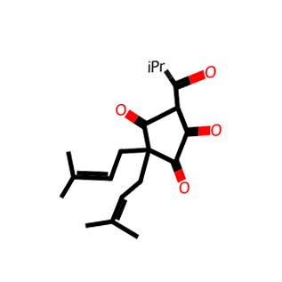 CC(C)=CCC1(CC=C(C)C)C(=O)C(=O)C(C(=O)C(C)C)C1=O